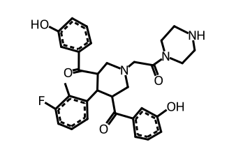 Cc1c(F)cccc1C1C(C(=O)c2cccc(O)c2)CN(CC(=O)N2CCNCC2)CC1C(=O)c1cccc(O)c1